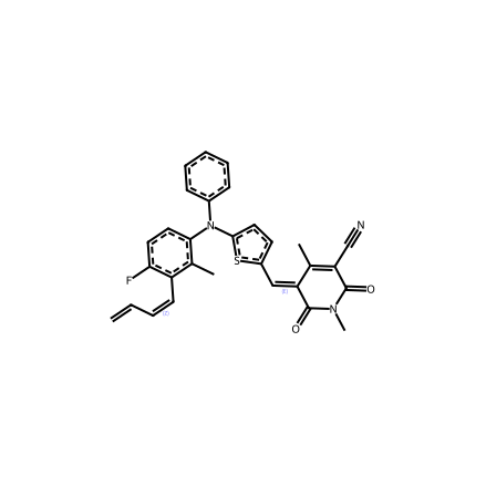 C=C/C=C\c1c(F)ccc(N(c2ccccc2)c2ccc(/C=C3/C(=O)N(C)C(=O)C(C#N)=C3C)s2)c1C